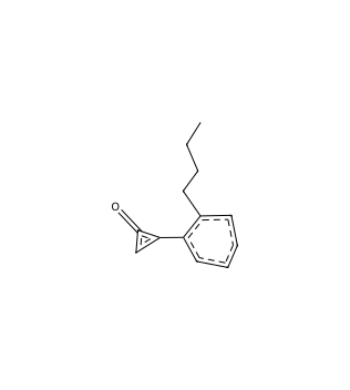 CCCCc1ccccc1-c1cc1=O